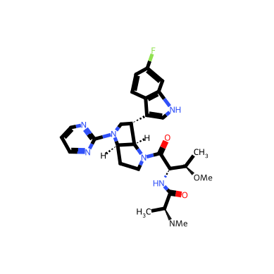 CN[C@@H](C)C(=O)N[C@H](C(=O)N1CC[C@@H]2[C@H]1[C@@H](c1c[nH]c3cc(F)ccc13)CN2c1ncccn1)[C@@H](C)OC